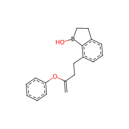 C=C(CCc1cccc2c1B(O)CC2)Oc1ccccc1